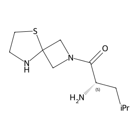 CC(C)C[C@H](N)C(=O)N1CC2(C1)NCCS2